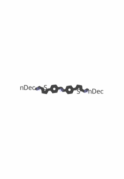 CCCCCCCCCC/C=C/c1ccc(-c2ccc(/C=C/c3ccc(-c4ccc(/C=C/CCCCCCCCCC)s4)cc3)cc2)s1